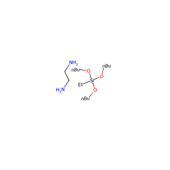 CCCCO[Si](CC)(OCCCC)OCCCC.NCCN